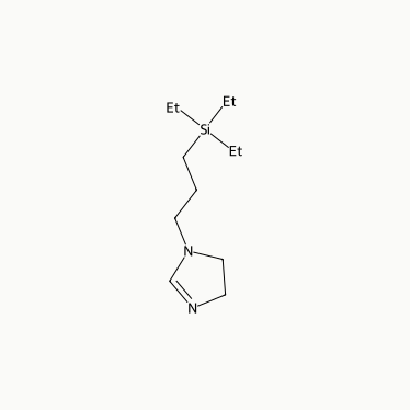 CC[Si](CC)(CC)CCCN1C=NCC1